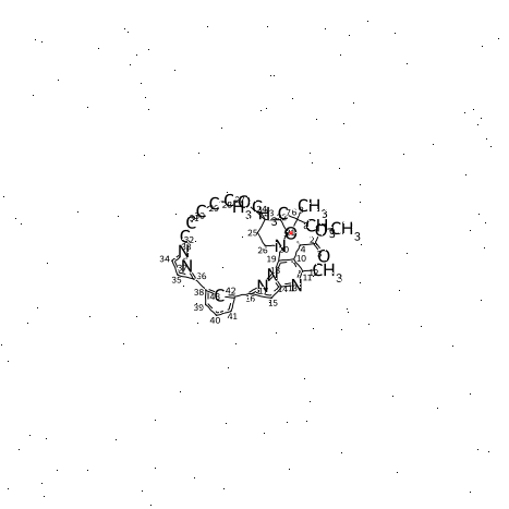 COC(=O)[C@@H](OC(C)(C)C)c1c(C)nc2cc3nn2c1N1CCC(C)(CC1)OCCCCCn1ccc(n1)-c1cccc-3c1